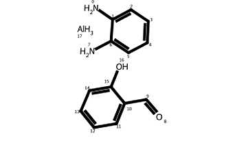 Nc1ccccc1N.O=Cc1ccccc1O.[AlH3]